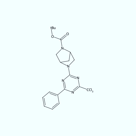 CC(C)(C)OC(=O)N1CC2CC1CN2c1nc(-c2ccccc2)nc(C(Cl)(Cl)Cl)n1